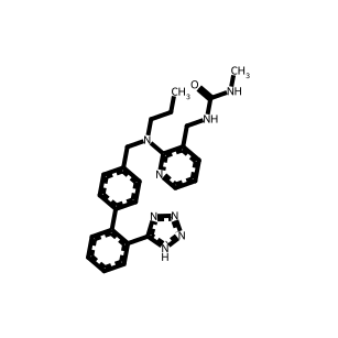 CCCN(Cc1ccc(-c2ccccc2-c2nnn[nH]2)cc1)c1ncccc1CNC(=O)NC